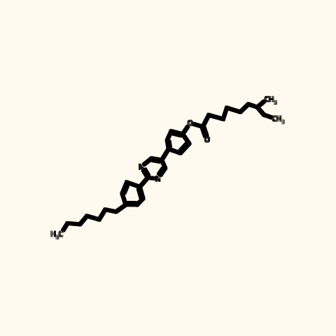 CCCCCCCc1ccc(-c2ncc(-c3ccc(OC(=O)CCCCCC(C)CC)cc3)cn2)cc1